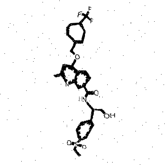 CCS(=O)(=O)c1ccc([C@H](CO)NC(=O)c2ccc3c(OCC4CCC(C(F)(F)F)CC4)cc(C)nc3c2)cc1